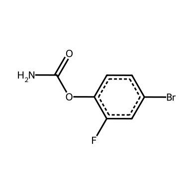 NC(=O)Oc1ccc(Br)cc1F